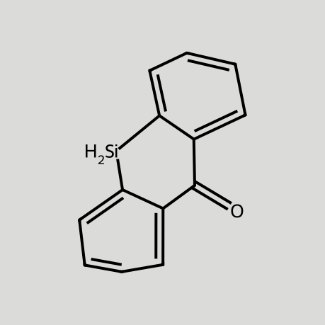 O=C1c2ccccc2[SiH2]c2ccccc21